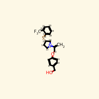 C=C(COc1ccc(CO)cc1)N1CC[C@H](Sc2ccccc2C(F)(F)F)C1